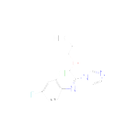 CCCOCC(=Nc1ccc(F)cc1Cl)n1ccnc1